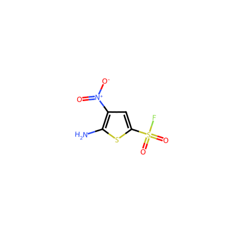 Nc1sc(S(=O)(=O)F)cc1[N+](=O)[O-]